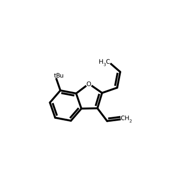 C=Cc1c(/C=C\C)oc2c(C(C)(C)C)cccc12